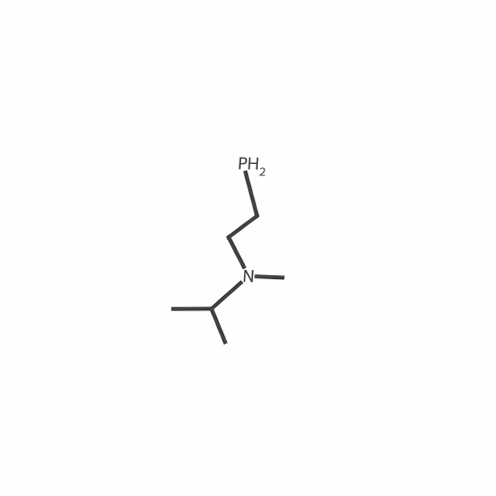 CC(C)N(C)CCP